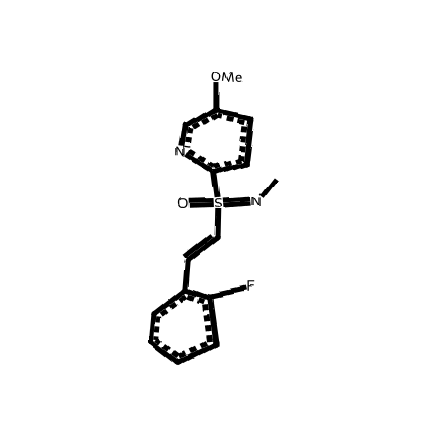 CN=S(=O)(/C=C/c1ccccc1F)c1ccc(OC)cn1